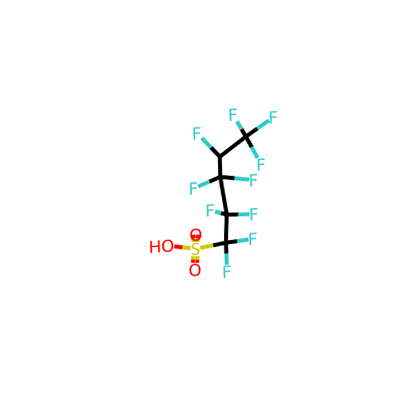 O=S(=O)(O)C(F)(F)C(F)(F)C(F)(F)C(F)C(F)(F)F